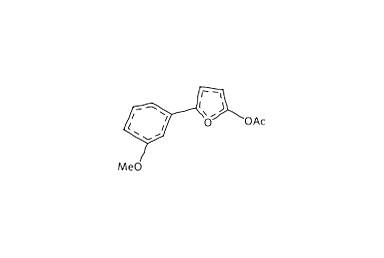 COc1cccc(-c2ccc(OC(C)=O)o2)c1